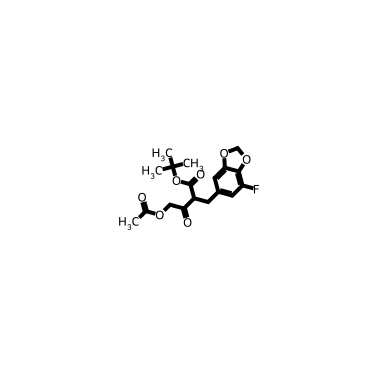 CC(=O)OCC(=O)C(Cc1cc(F)c2c(c1)OCO2)C(=O)OC(C)(C)C